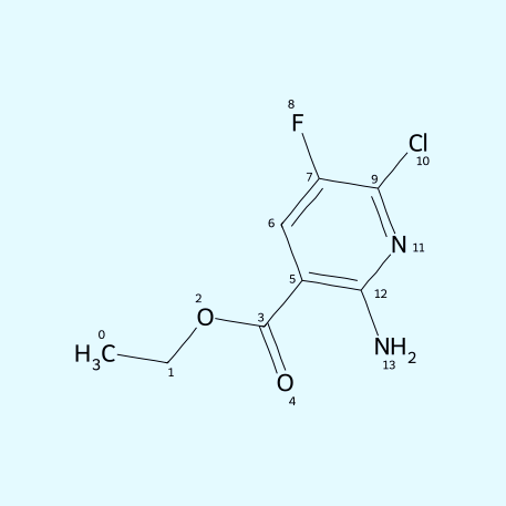 CCOC(=O)c1cc(F)c(Cl)nc1N